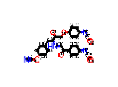 N#COc1ccc(CC(NCC(=O)c2ccc(N=C=O)cc2)C(=O)COc2ccc(N=C=O)cc2)cc1